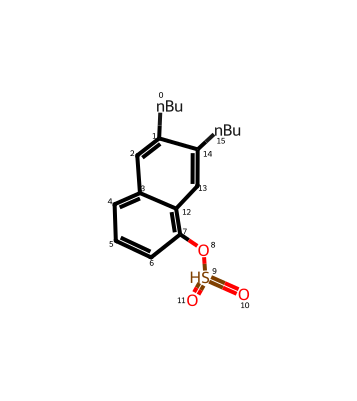 CCCCc1cc2cccc(O[SH](=O)=O)c2cc1CCCC